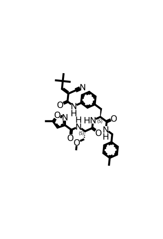 COC[C@H](NC(=O)c1cc(C)on1)C(=O)N[C@@H](Cc1cccc(NC(=O)C(C#N)=CC(C)(C)C)c1)C(=O)NCc1ccc(C)cc1